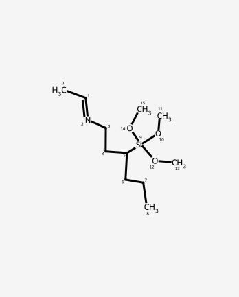 CC=NCCC(CCC)[Si](OC)(OC)OC